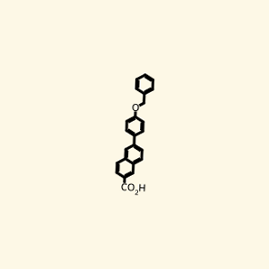 O=C(O)c1ccc2cc(-c3ccc(OCc4ccccc4)cc3)ccc2c1